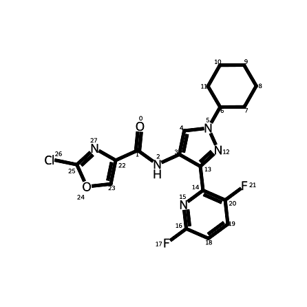 O=C(Nc1cn(C2CCCCC2)nc1-c1nc(F)ccc1F)c1coc(Cl)n1